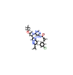 CC(C)(C)[Si](C)(C)O[C@H]1C[C@H](c2cn3nc(C4CC4)ccc3n2)N(c2cc(NC(=O)[C@H]3C[C@@H]3c3cccc(Cl)c3)ncn2)C1